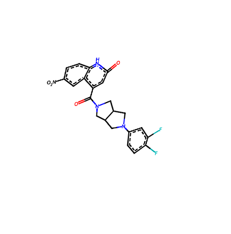 O=C(c1cc(=O)[nH]c2ccc([N+](=O)[O-])cc12)N1CC2CN(c3ccc(F)c(F)c3)CC2C1